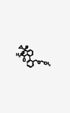 CCOCc1ccccc1-c1cccc(S(=O)(=O)C2CC2)c1C(N)=O